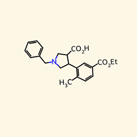 CCOC(=O)c1ccc(C)c(C2CN(Cc3ccccc3)CC2C(=O)O)c1